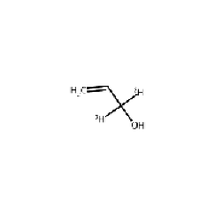 [2H]C([2H])(O)C=C